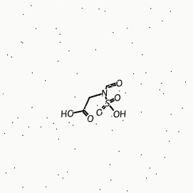 O=CN(CC(=O)O)S(=O)(=O)O